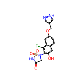 O=C1CN(c2c(O)cc3ccc(OCc4cn[nH]c4)cc3c2F)S(=O)(=O)N1